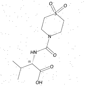 CC(C)[C@H](NC(=O)N1CCS(=O)(=O)CC1)C(=O)O